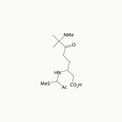 CNC(C)(C)C(=O)CCC(CC(=O)O)NC(SC)C(C)=O